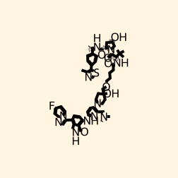 Cc1ncsc1-c1ccc([C@H](C)NC(=O)[C@@H]2C[C@@H](O)CN2C(=O)[C@@H](NC(=O)CCCCOCC2(O)CCN(c3ccc(Nc4ccc(-c5cnc6cc(F)ccn56)c5c4C(=O)NC5)nc3CN(C)C)CC2)C(C)(C)C)cc1